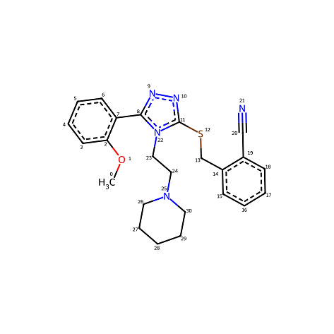 COc1ccccc1-c1nnc(SCc2ccccc2C#N)n1CCN1CCCCC1